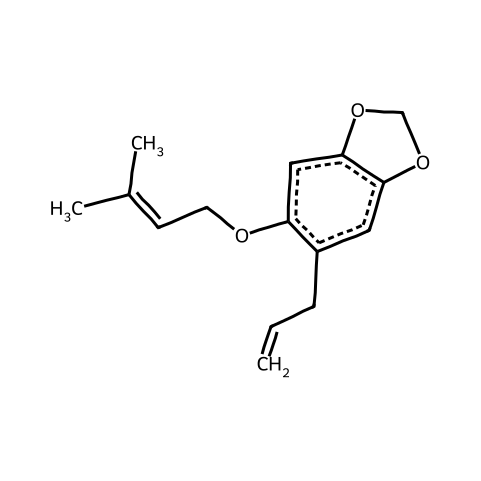 C=CCc1cc2c(cc1OCC=C(C)C)OCO2